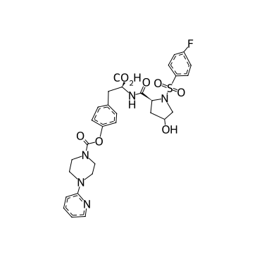 O=C(O)[C@H](Cc1ccc(OC(=O)N2CCN(c3ccccn3)CC2)cc1)NC(=O)[C@@H]1CC(O)CN1S(=O)(=O)c1ccc(F)cc1